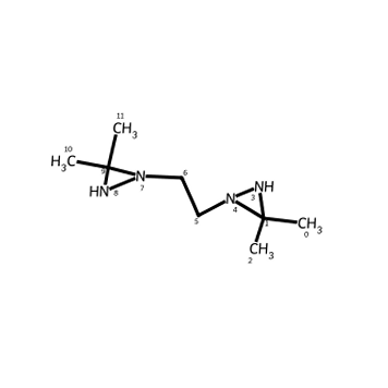 CC1(C)NN1CCN1NC1(C)C